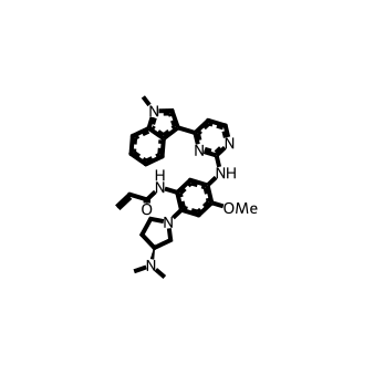 C=CC(=O)Nc1cc(Nc2nccc(-c3cn(C)c4ccccc34)n2)c(OC)cc1N1CC[C@H](N(C)C)C1